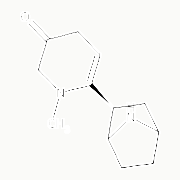 CN1CC(=O)CC=C1[C@H]1CC2CCC1N2